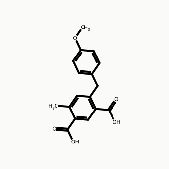 COc1ccc(Cc2cc(C)c(C(=O)O)cc2C(=O)O)cc1